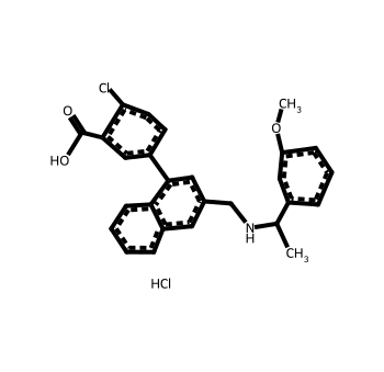 COc1cccc(C(C)NCc2cc(-c3ccc(Cl)c(C(=O)O)c3)c3ccccc3c2)c1.Cl